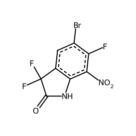 O=C1Nc2c(cc(Br)c(F)c2[N+](=O)[O-])C1(F)F